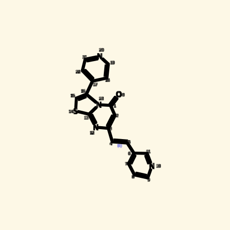 O=c1cc(/C=C/c2cccnc2)nc2scc(-c3ccncc3)n12